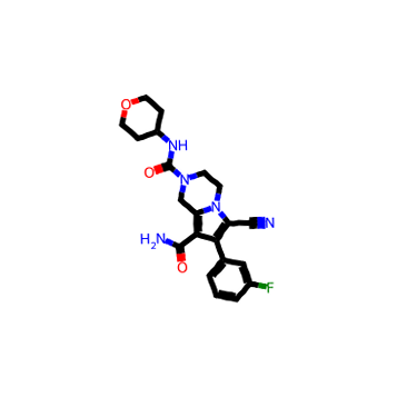 N#Cc1c(-c2cccc(F)c2)c(C(N)=O)c2n1CCN(C(=O)NC1CCOCC1)C2